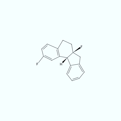 Fc1ccc2c(c1)[C@H]1c3ccccc3C[C@@]1(F)CC2